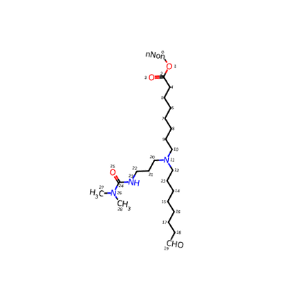 CCCCCCCCCOC(=O)CCCCCCCN(CCCCCCCC=O)CCCNC(=O)N(C)C